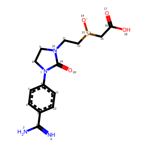 N=C(N)c1ccc(N2CCN(CC[S+]([O-])CC(=O)O)C2=O)cc1